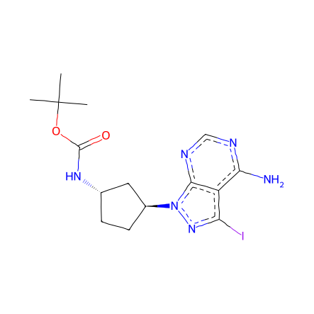 CC(C)(C)OC(=O)N[C@H]1CC[C@H](n2nc(I)c3c(N)ncnc32)C1